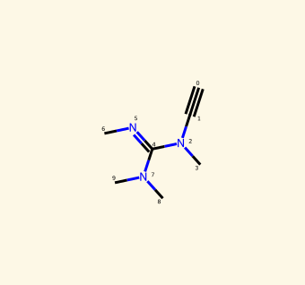 C#CN(C)/C(=N/C)N(C)C